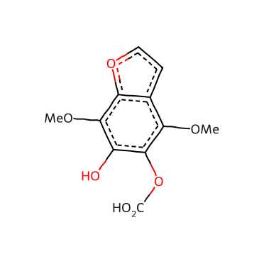 COc1c(OC(=O)O)c(O)c(OC)c2occc12